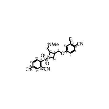 CNCC1C(COc2ccc(C#N)c(F)c2)CN1S(=O)(=O)c1ccc(Cl)cc1C#N